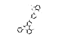 CC(C)c1cccc2c1N(c1cc(Oc3cnc4c(c3)c3nc5ccccc5n3c3cccc(C(C)C)c43)ccn1)CN2C